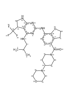 CC(C)CNc1nc(Nc2ccc(C(=O)N3CCC(N4CCOCC4)CC3)c3c2OCC3)nc2c1C(C(F)(F)F)CN2